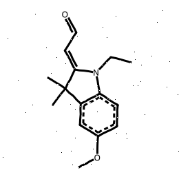 CCN1C(=CC=O)C(C)(C)c2cc(OC)ccc21